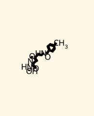 Cc1ccc(C(=O)NCCc2cc(C(=O)NO)no2)cc1